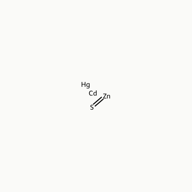 [Cd].[Hg].[S]=[Zn]